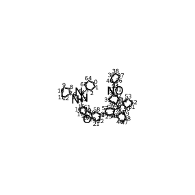 c1ccc(-c2nc(-c3ccccc3)nc(-c3ccc4oc5ccc(-c6ccc(C7(c8ccc9nc(-c%10ccccc%10)oc9c8)c8ccccc8-c8ccccc87)cc6)cc5c4c3)n2)cc1